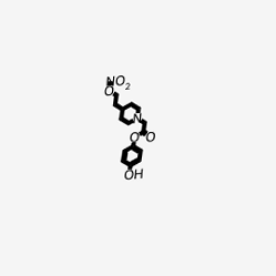 O=C(CN1CCC(CCO[N+](=O)[O-])CC1)Oc1ccc(O)cc1